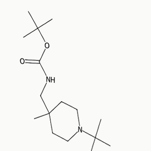 CC1(CNC(=O)OC(C)(C)C)CCN(C(C)(C)C)CC1